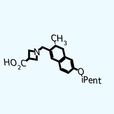 CCC[C@@H](C)Oc1ccc2c(c1)C[C@@H](C)C(CN1CC(C(=O)O)C1)=C2